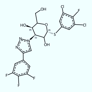 OCC1O[C@H](Sc2cc(Cl)c(F)c(Cl)c2)C(O)[C@@H](n2cc(-c3cc(F)c(F)c(F)c3)nn2)[C@H]1O